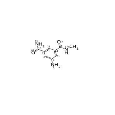 CNC(=O)c1cc(N)cc(C(N)=O)c1